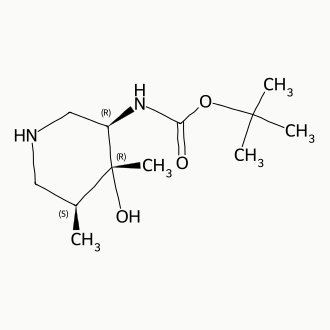 C[C@H]1CNC[C@@H](NC(=O)OC(C)(C)C)[C@]1(C)O